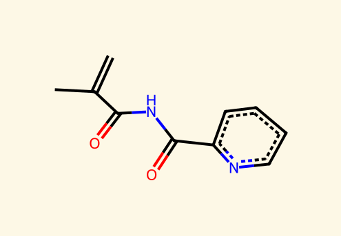 C=C(C)C(=O)NC(=O)c1ccccn1